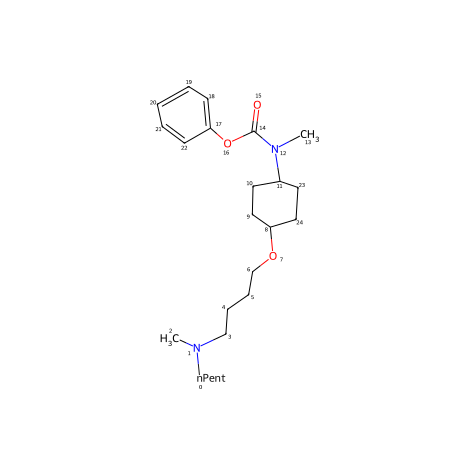 CCCCCN(C)CCCCOC1CCC(N(C)C(=O)Oc2ccccc2)CC1